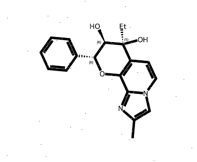 CC[C@]1(O)c2ccn3cc(C)nc3c2O[C@H](c2ccccc2)[C@H]1O